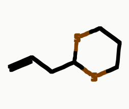 C=CCC1SCCCS1